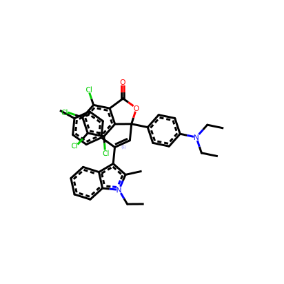 CCN(CC)c1ccc(C2(/C=C(\c3ccc(C)cc3)c3c(C)n(CC)c4ccccc34)OC(=O)c3c(Cl)c(Cl)c(Cl)c(Cl)c32)cc1